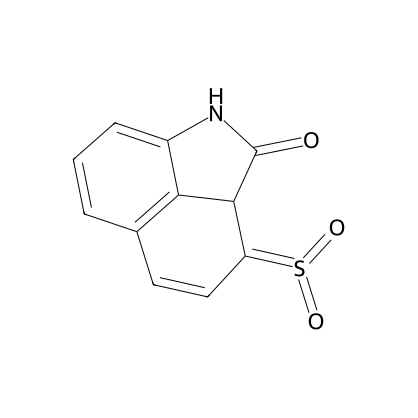 O=C1Nc2cccc3c2C1C(=S(=O)=O)C=C3